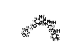 O=C(Cc1cc(Nc2ncnc3ccc(OCCCN4CCOCC4)cc23)n[nH]1)Nc1cccc(F)c1